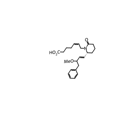 COC(/C=C/[C@H]1CCCC(=O)N1C/C=C\CCCC(=O)O)Cc1ccccc1